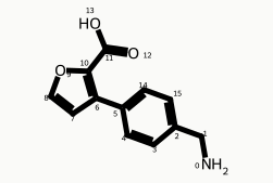 NCc1ccc(-c2ccoc2C(=O)O)cc1